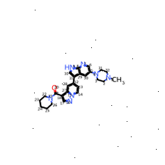 CN1CCN(c2cnc3[nH]cc(-c4ccn5ncc(C(=O)N6CCCCC6)c5c4)c3c2)CC1